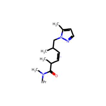 CCCN(C)C(=O)C(C)/C=C\C(C)Cn1nccc1C